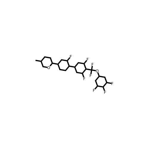 CC1CCC(C2CCC(C3CC(F)C(C(F)(F)OC4CC(F)C(F)C(F)C4)C(F)C3)C(F)C2)OC1